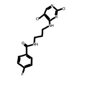 O=C(NCCCNc1nc(Cl)ncc1Cl)c1ccc(F)cc1